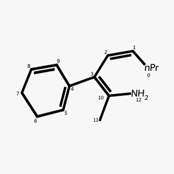 CCC/C=C\C(C1=CCCC=C1)=C(\C)N